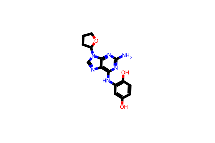 Nc1nc(Nc2cc(O)ccc2O)c2ncn(C3CCCO3)c2n1